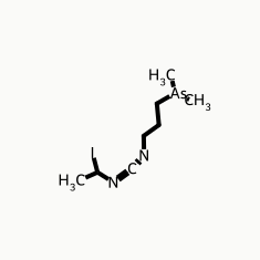 CC(I)N=C=NCCC[As](C)C